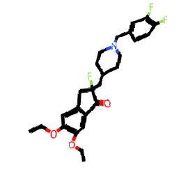 CCOc1cc2c(cc1OCC)C(=O)C(F)(CC1CCN(Cc3ccc(F)c(F)c3)CC1)C2